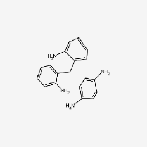 Nc1ccc(N)cc1.Nc1ccccc1Cc1ccccc1N